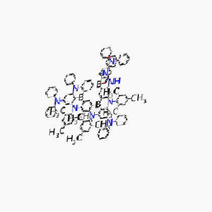 Cc1cc(C)c(N2c3cc4c(cc3B3c5ccccc5N(c5ccccc5)c5cc(N(c6ccccc6)c6ccccc6)cc2c53)B2c3cc5c(cc3N(c3c(C)cc(C)cc3C)c3cc(N(c6ccccc6)c6ccccc6)cc(c32)N4c2c(C)cc(C)cc2C)Nc2cc(N(c3ccccc3)c3ccccc3)cc3c2B5c2ccccc2N3c2ccccc2)c(C)c1